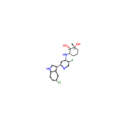 C[C@@]1(O)CCCC(Nc2cc(-c3c[nH]c4ccc(Cl)cc34)ncc2F)[C@H]1O